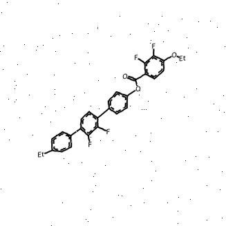 CCOc1ccc(C(=O)Oc2ccc(-c3ccc(-c4ccc(CC)cc4)c(F)c3F)cc2)c(F)c1F